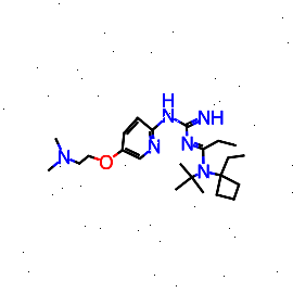 CC/C(=N\C(=N)Nc1ccc(OCCN(C)C)cn1)N(C(C)(C)C)C1(CC)CCC1